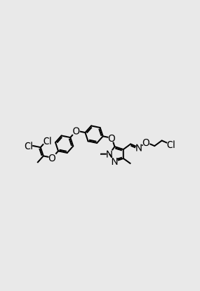 CC(Oc1ccc(Oc2ccc(Oc3c(/C=N/OCCCl)c(C)nn3C)cc2)cc1)=C(Cl)Cl